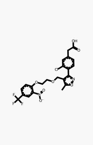 Cc1onc(-c2ccc(CC(=O)O)cc2Cl)c1COCCOc1ccc(C(F)(F)F)cc1[N+](=O)[O-]